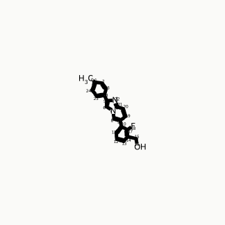 Cc1ccc(-c2cn3cc(-c4cccc(CO)c4F)ccc3n2)cc1